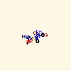 CCOc1ccc(-c2nc(C(N)=O)c3nc(SCC(=O)N4CCNCC4C(=O)OC(C)(C)C)n(-c4ccccc4)c3n2)cc1